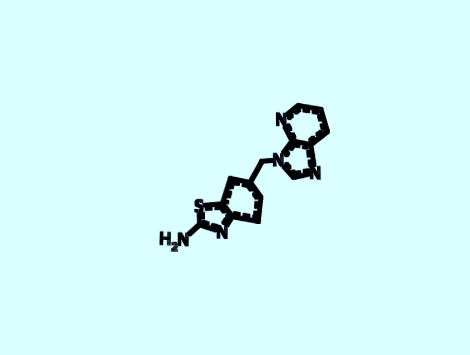 Nc1nc2ccc(Cn3cnc4cccnc43)cc2s1